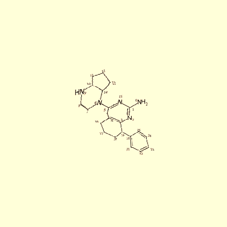 Nc1nc2c(c(N3CCNC4CCCC43)n1)CCCC2c1ccccc1